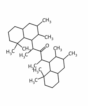 CC1CC2CCCC(C)(C)C2C(C(C)C(=O)C(C)C2C(C)C(C)CC3CCCC(C)(C)C32)C1C